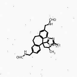 CCc1nnc(C2(C[C@H](C)N)c3ccc(CNC=O)cc3CCc3cc(CNC=O)ccc32)o1